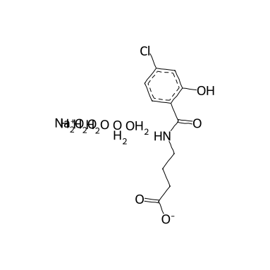 O.O.O.O.O.O=C([O-])CCCNC(=O)c1ccc(Cl)cc1O.[Na+]